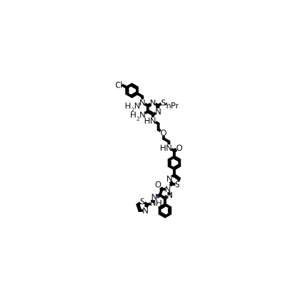 CCCSc1nc(NCCOCCNC(=O)c2ccc(-c3csc(N4N=C(c5ccccc5)/C(=N\Nc5nccs5)C4=O)n3)cc2)c(N)c(N(N)Cc2ccc(Cl)cc2)n1